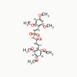 COc1cc(OC)c(C=CS(=O)(=O)CC(=O)/C=C/c2c(OC)cc(OC)cc2OC)c(OC)c1